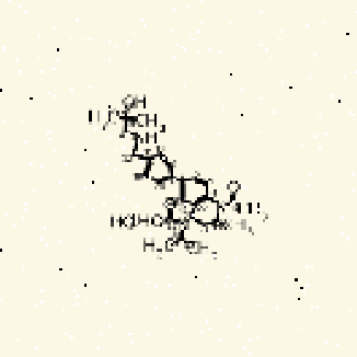 CC(=O)N1c2ccc(-c3ccc(CNCC(C)(C)O)cc3)cc2[C@H](N(C(=O)O)C(C)C)C[C@@H]1C.Cl